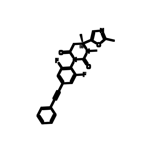 Cc1ncc([C@]2(C)CC(=O)N(c3c(F)cc(C#Cc4ccccc4)cc3F)C(=O)N2C)o1